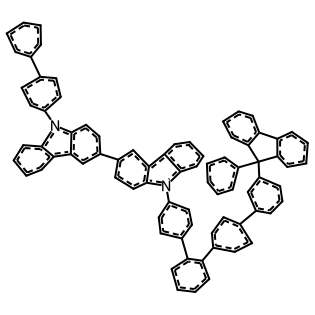 c1ccc(-c2ccc(-n3c4ccccc4c4cc(-c5ccc6c(c5)c5ccccc5n6-c5ccc(-c6ccccc6-c6ccc(-c7cccc(C8(c9ccccc9)c9ccccc9-c9ccccc98)c7)cc6)cc5)ccc43)cc2)cc1